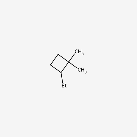 CCC1CCC1(C)C